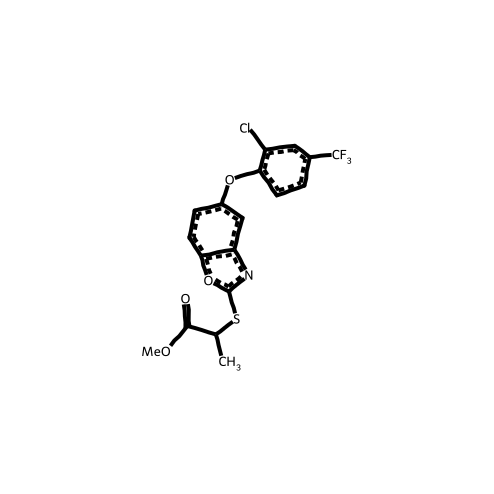 COC(=O)C(C)Sc1nc2cc(Oc3ccc(C(F)(F)F)cc3Cl)ccc2o1